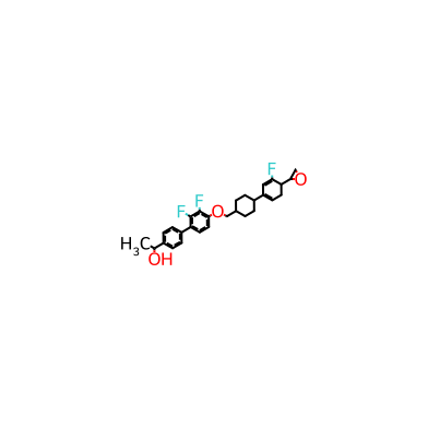 CC(O)c1ccc(-c2ccc(OCC3CCC(C4=CCC(C5CO5)C(F)=C4)CC3)c(F)c2F)cc1